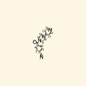 N#Cc1ccc(C(=O)N2CCN(c3ccncc3)CC2)cc1